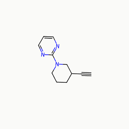 C#CC1CCCN(c2ncccn2)C1